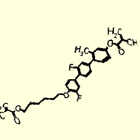 C=C(C)C(=O)OCCCCCCOc1ccc(-c2ccc(-c3ccc(OC(=O)C(=C)C)cc3C)cc2F)cc1F